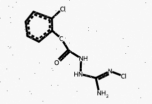 NC(=NCl)NNC(=O)Cc1ccccc1Cl